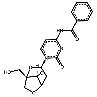 O=C(Nc1ccn([C@H]2CC3OC[C@](CO)(O2)[C@H]3O)c(=O)n1)c1ccccc1